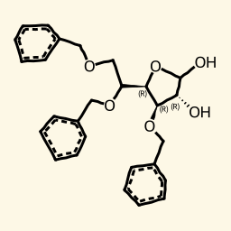 OC1O[C@H](C(COCc2ccccc2)OCc2ccccc2)[C@H](OCc2ccccc2)[C@H]1O